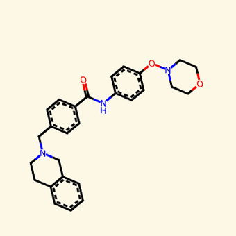 O=C(Nc1ccc(ON2CCOCC2)cc1)c1ccc(CN2CCc3ccccc3C2)cc1